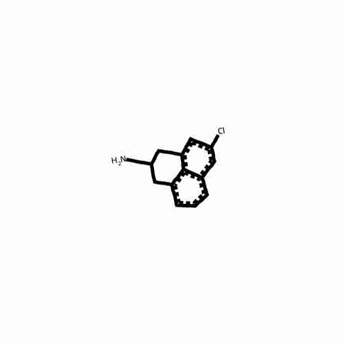 NC1Cc2cccc3cc(Cl)cc(c23)C1